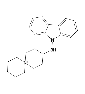 B(C1CC[N+]2(CCCCC2)CC1)n1c2ccccc2c2ccccc21